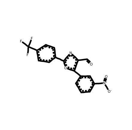 O=Cc1nc(-c2ccc(C(F)(F)F)cc2)oc1-c1cccc([N+](=O)[O-])c1